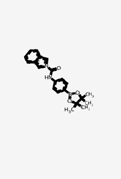 CC1(C)OB(c2ccc(NC(=O)n3cc4ccccc4c3)cc2)OC1(C)C